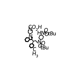 Cc1cccc(C(CCN(C(=O)OC(C)(C)C)C2CCC(NC(=O)OC(C)(C)C)CC2)c2cn(C3CCN(C(=O)O)CC3)c3ccccc23)c1